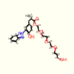 CCCCC(Cc1ccc(O)c(-n2nc3ccccc3n2)c1)C(=O)OCCOCCOCCOCCCO